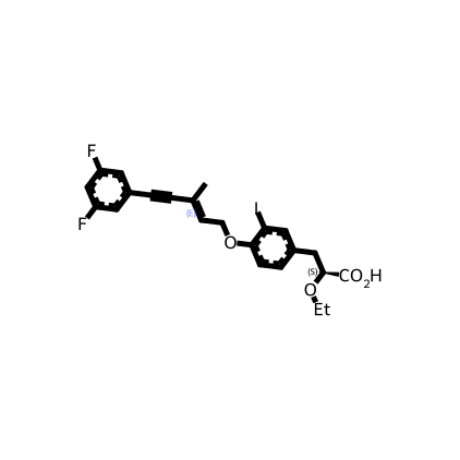 CCO[C@@H](Cc1ccc(OC/C=C(\C)C#Cc2cc(F)cc(F)c2)c(I)c1)C(=O)O